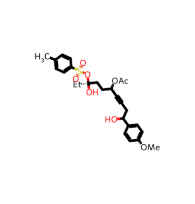 CC[C@@](O)(CCC(C#CCC(O)c1ccc(OC)cc1)OC(C)=O)OS(=O)(=O)c1ccc(C)cc1